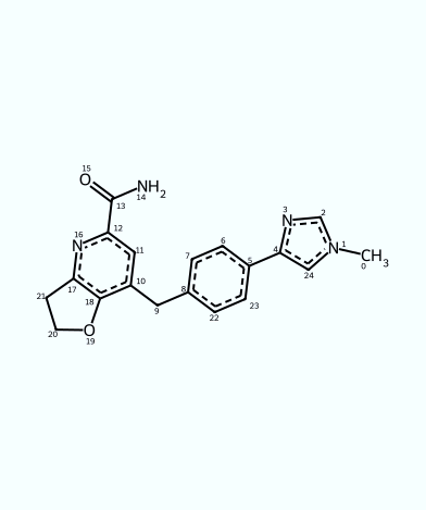 Cn1cnc(-c2ccc(Cc3cc(C(N)=O)nc4c3OCC4)cc2)c1